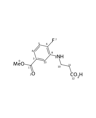 COC(=O)c1ccc(F)c(NCCC(=O)O)c1